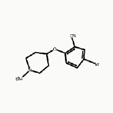 CC(C)(C)N1CCC(Oc2ccc(Br)cc2C#N)CC1